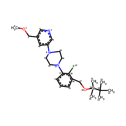 COCc1cncc(N2CCN(c3cccc(CO[Si](C)(C)C(C)(C)C)c3F)CC2)c1